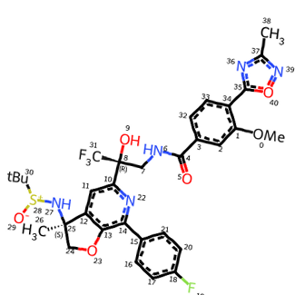 COc1cc(C(=O)NC[C@@](O)(c2cc3c(c(-c4ccc(F)cc4)n2)OC[C@@]3(C)N[S+]([O-])C(C)(C)C)C(F)(F)F)ccc1-c1nc(C)no1